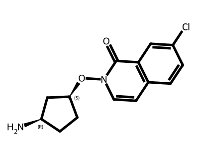 N[C@@H]1CC[C@H](On2ccc3ccc(Cl)cc3c2=O)C1